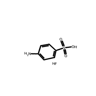 F.Nc1ccc(S(=O)(=O)O)cc1